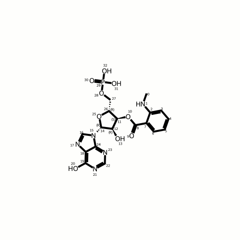 CNc1ccccc1C(=O)O[C@H]1[C@@H](O)[C@H](n2cnc3c(O)ncnc32)O[C@@H]1COP(=O)(O)O